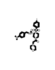 CN(C)c1ccc(CNC(=O)[C@H]2CN(C(=O)CN3CCOCC3)CCN2S(=O)(=O)c2ccc(I)cc2)cc1